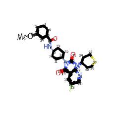 COC1CCCC(C(=O)N[C@H]2CC[C@@H](n3c(=O)c4cc(F)cnc4n(C4CCSCC4)c3=O)CC2)C1